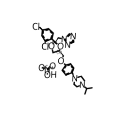 CC(C)N1CCN(c2ccc(OC[C@H]3CO[C@](Cn4cncn4)(c4ccc(Cl)cc4Cl)O3)cc2)CC1.O=[N+]([O-])O